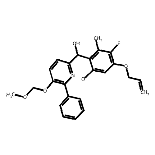 C=CCOc1cc(Cl)c(C(O)c2ccc(OCOC)c(-c3ccccc3)n2)c(C)c1F